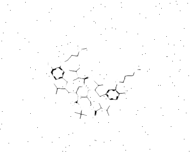 COCCCOc1cc(C[C@@H](C[C@@H]([C@@H]2C[C@@H](C(C)C)C(=O)O2)N(C(=O)OC(C)(C)C)[C@@H](C[C@H](Cc2ccc(F)c(OCCCOC)c2)C(C)C)[C@@H]2C[C@@H](C(C)C)C(=O)O2)C(C)C)ccc1F